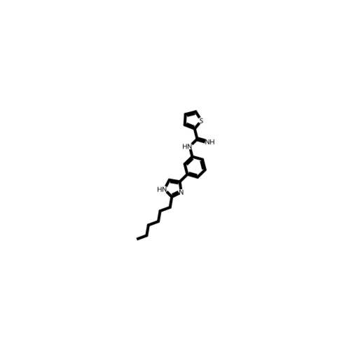 CCCCCCc1nc(-c2cccc(NC(=N)c3cccs3)c2)c[nH]1